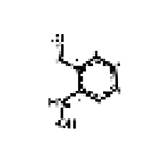 O=Cc1ccccc1NO